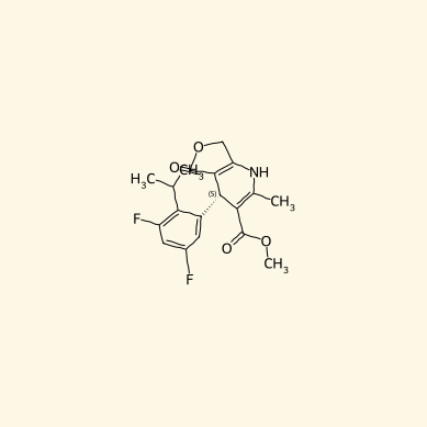 COC(=O)C1=C(C)NC2=C(C(=O)OC2)[C@H]1c1cc(F)cc(F)c1C(C)C